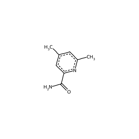 Cc1cc(C)nc(C(N)=O)c1